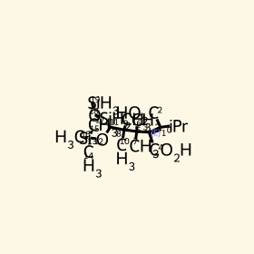 CC(C)/C(C(=O)O)=C(\C(=O)O)C(C)(C)C(C)(C)C(O[Si](C)(C)C)[SiH2]O[SiH3]